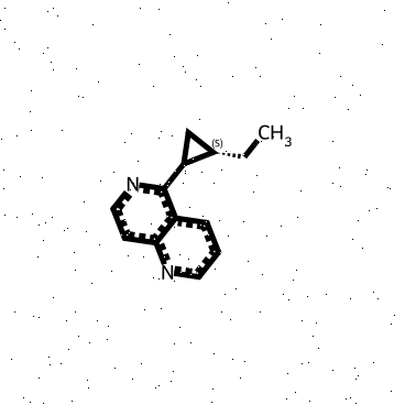 CC[C@H]1CC1c1nccc2ncccc12